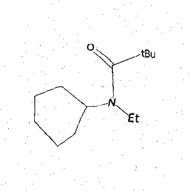 [CH2]CN(C(=O)C(C)(C)C)C1CCCCC1